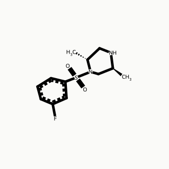 C[C@@H]1CN[C@@H](C)CN1S(=O)(=O)c1cccc(F)c1